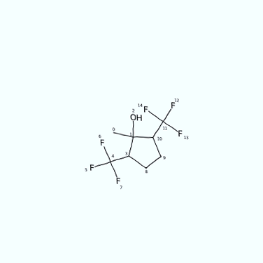 CC1(O)C(C(F)(F)F)CCC1C(F)(F)F